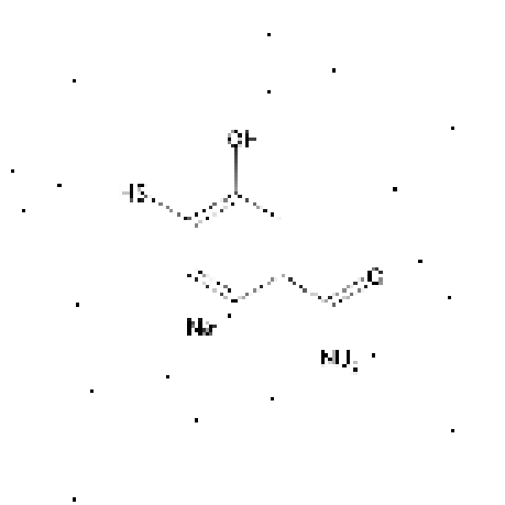 NC(=O)c1ccc(S)c(O)c1.[Na]